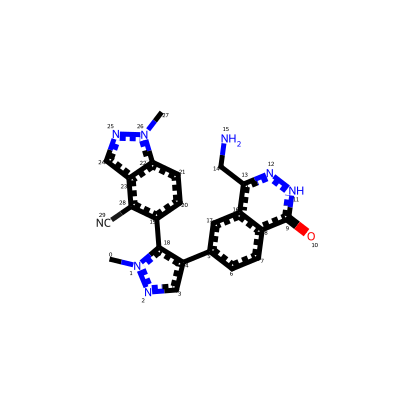 Cn1ncc(-c2ccc3c(=O)[nH]nc(CN)c3c2)c1-c1ccc2c(cnn2C)c1C#N